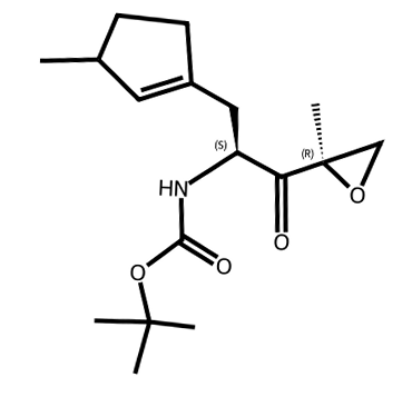 CC1C=C(C[C@H](NC(=O)OC(C)(C)C)C(=O)[C@@]2(C)CO2)CC1